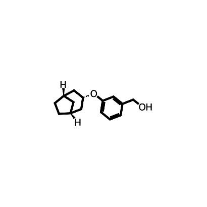 OCc1cccc(O[C@@H]2C[C@@H]3CC[C@@H](C3)C2)c1